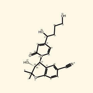 CC1(C)Oc2ccc(C#N)cc2[C@H](n2ccc(C(O)CCCO)cc2=O)[C@H]1O